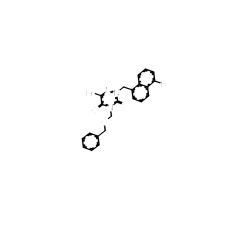 O=c1c(Br)nn(Cc2cccc3c(F)cccc23)c(=O)n1COCc1ccccc1